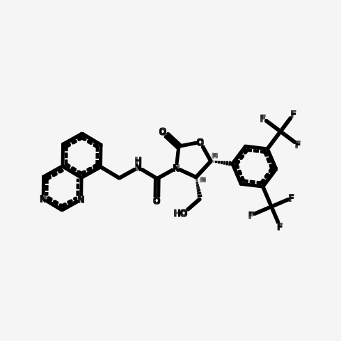 O=C(NCc1cccc2cncnc12)N1C(=O)O[C@H](c2cc(C(F)(F)F)cc(C(F)(F)F)c2)[C@@H]1CO